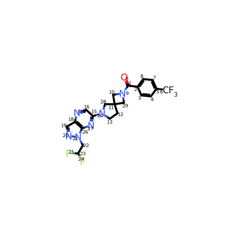 O=C(c1ccc(C(F)(F)F)cc1)N1CC2(CCN(c3cnc4cnn(CC(F)F)c4n3)C2)C1